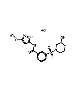 CC(C)Oc1cc(NC(=O)c2cccc(S(=O)(=O)N3CCCC(O)C3)c2)[nH]n1.Cl